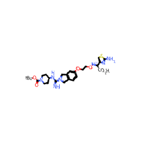 CC(C)(C)OC(=O)N1CCC(NC(=N)N2Cc3ccc(OCCO/N=C(\C(=O)O)c4csc(N)n4)cc3C2)CC1